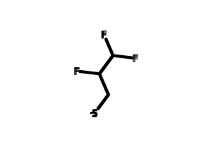 FC(F)C(F)C[S]